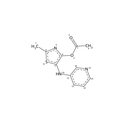 CC(=O)Oc1nc(C)sc1Nc1cccnc1